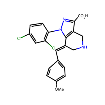 COc1ccc(/C=C2\CNCc3c(C(=O)O)nn(-c4ccc(Cl)cc4Cl)c32)cc1